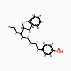 CCCC(CCCCCc1ccc(O)cc1)C(C)Cc1ccccc1